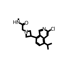 CNC(=O)CN1CC(c2ccc(C(C)C)c3cc(Cl)ncc23)C1